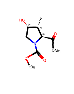 COC(=O)[C@@H]1[C@@H](C)[C@@H](O)CN1C(=O)OC(C)(C)C